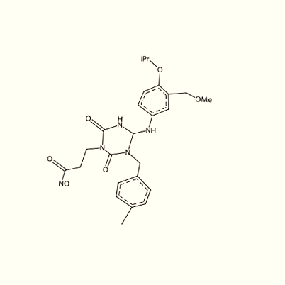 COCc1cc(NC2NC(=O)N(CCC(=O)N=O)C(=O)N2Cc2ccc(C)cc2)ccc1OC(C)C